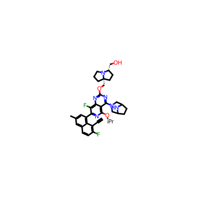 C#Cc1c(F)ccc2cc(C)cc(-c3nc(OC(C)C)c4c(N5CC6CCC(C5)N6)nc(OC[C@]56CCCN5[C@H](CO)CC6)nc4c3F)c12